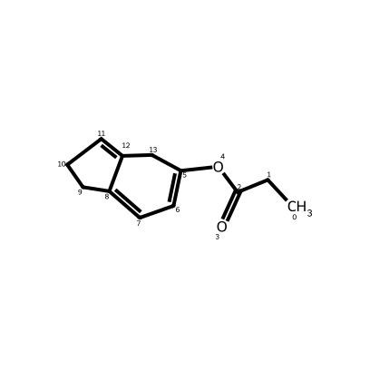 CCC(=O)OC1=CC=C2CCC=C2C1